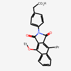 CCCc1c2c(c(OCC)c3ccccc13)C(=O)N(c1ccc(CC(=O)O)cc1)C2=O